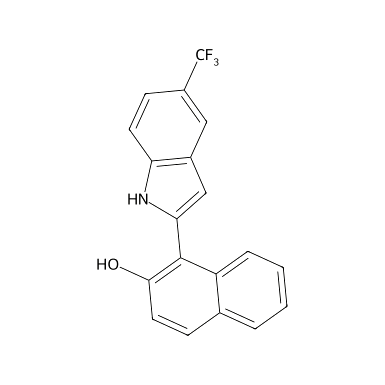 Oc1ccc2ccccc2c1-c1cc2cc(C(F)(F)F)ccc2[nH]1